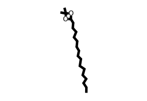 CCCCCCCCCCCCCCCCC1OC(C)(C)O1